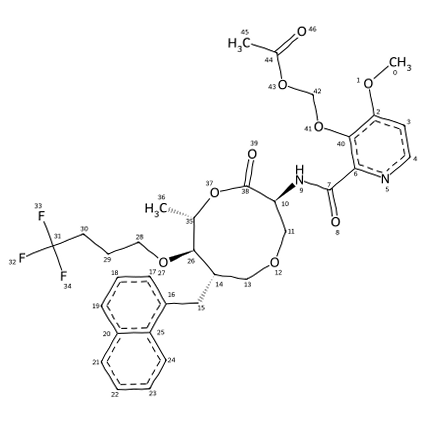 COc1ccnc(C(=O)N[C@H]2COC[C@H](Cc3cccc4ccccc34)[C@@H](OCCCC(F)(F)F)[C@H](C)OC2=O)c1OCOC(C)=O